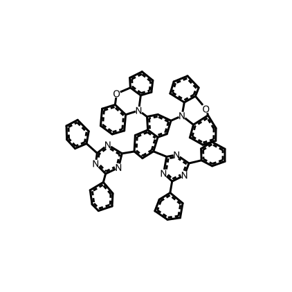 c1ccc(-c2nc(-c3ccccc3)nc(-c3cc(-c4nc(-c5ccccc5)nc(-c5ccccc5)n4)c4cc(N5c6ccccc6Oc6ccccc65)cc(N5c6ccccc6Oc6ccccc65)c4c3)n2)cc1